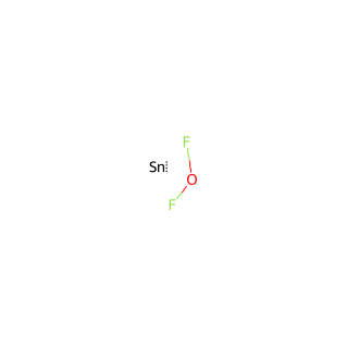 FOF.[Sn]